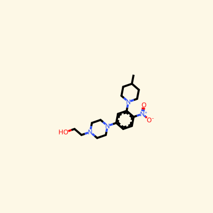 CC1CCN(c2cc(N3CCN(CCO)CC3)ccc2[N+](=O)[O-])CC1